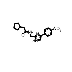 O=C(CC1CCCC1)NCc1nc(-c2ccc([N+](=O)[O-])cc2)c[nH]1